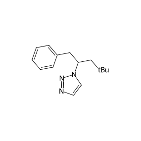 CC(C)(C)CC(Cc1ccccc1)n1ccnn1